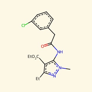 CCOC(=O)c1c(CC)nn(C)c1NC(=O)Cc1cccc(Cl)c1